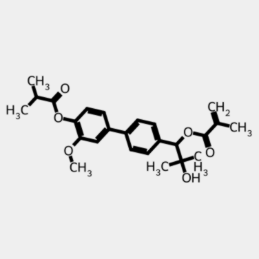 C=C(C)C(=O)OC(c1ccc(-c2ccc(OC(=O)C(C)C)c(OC)c2)cc1)C(C)(C)O